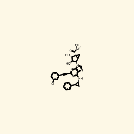 CNC(=O)[C@]12CC1[C@@H](n1cnc3c(N[C@@H]4CC4c4ccccc4)nc(C#Cc4cccc(Cl)c4)nc31)C(O)[C@@H]2O